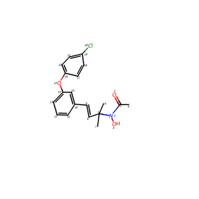 CC(=O)N(O)C(C)(C)C=Cc1cccc(Oc2ccc(Cl)cc2)c1